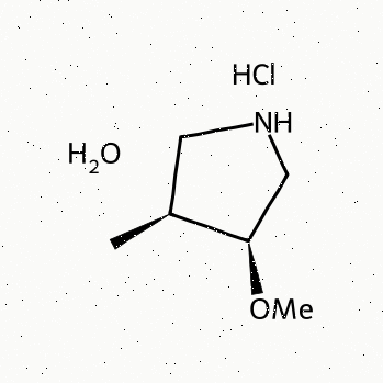 CO[C@@H]1CNC[C@@H]1C.Cl.O